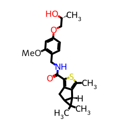 COc1cc(OC[C@@H](C)O)ccc1CNC(=O)c1sc(C)c2c1CC1[C@H]2C1(C)C